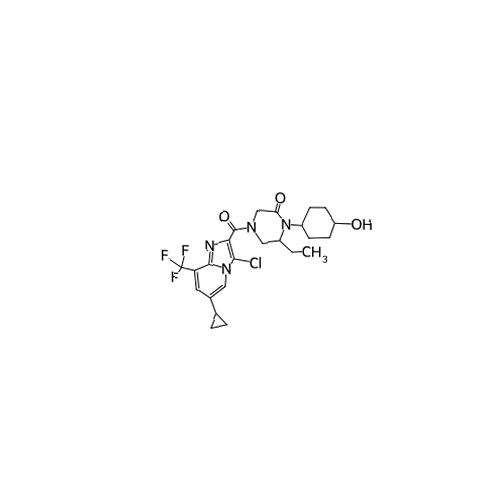 CCC1CN(C(=O)c2nc3c(C(F)(F)F)cc(C4CC4)cn3c2Cl)CC(=O)N1C1CCC(O)CC1